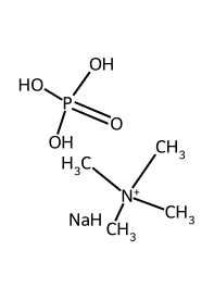 C[N+](C)(C)C.O=P(O)(O)O.[NaH]